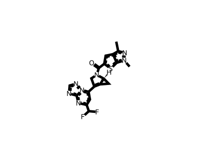 Cc1nn(C)c2sc(C(=O)N3CC(c4cc(C(F)F)nc5ncnn45)=C4C[C@@H]43)cc12